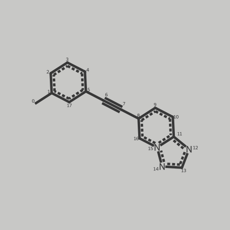 Cc1cccc(C#Cc2ccc3ncnn3c2)c1